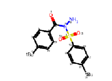 CC(C)(C)c1ccc(C(=O)N(N)S(=O)(=O)c2ccc(C(C)(C)C)cc2)cc1